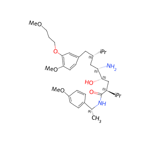 COCCCOc1cc(C[C@@H](C[C@H](N)[C@@H](O)C[C@H](C(=O)N[C@H](C)c2ccc(OC)cc2)C(C)C)C(C)C)ccc1OC